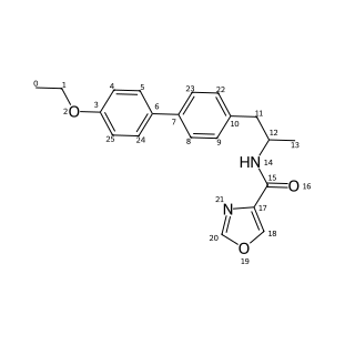 CCOc1ccc(-c2ccc(CC(C)NC(=O)c3cocn3)cc2)cc1